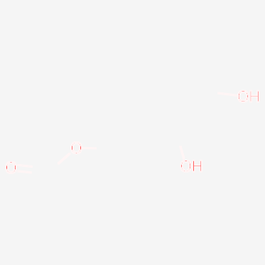 O=COCCC(O)CO